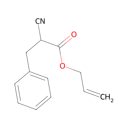 C=CCOC(=O)C(C#N)Cc1ccccc1